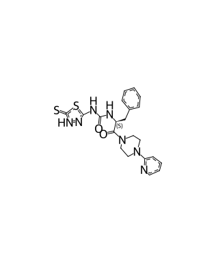 O=C(Nc1n[nH]c(=S)s1)N[C@@H](Cc1ccccc1)C(=O)N1CCN(c2ccccn2)CC1